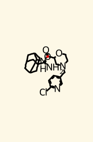 NC(=O)C12CC3CC(C1)C(NC(=O)C1CN(Cc4ccc(Cl)nc4)CCO1)C(C3)C2